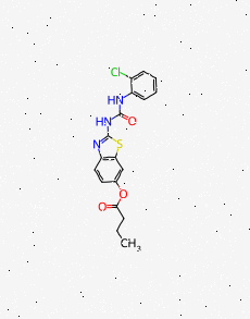 CCCC(=O)Oc1ccc2nc(NC(=O)Nc3ccccc3Cl)sc2c1